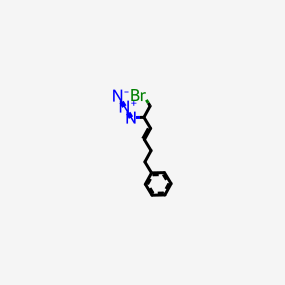 [N-]=[N+]=NC(/C=C/CCc1ccccc1)CBr